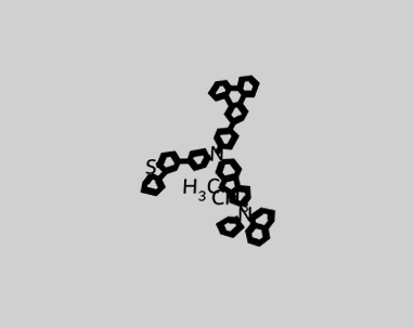 CC1(C)c2cc(N(c3ccc(-c4ccc5sc6ccccc6c5c4)cc3)c3ccc(-c4ccc5c6ccccc6c6ccccc6c5c4)cc3)ccc2-c2ccc(N(c3ccccc3)c3cccc4ccccc34)cc21